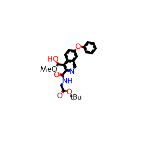 COC(O)c1c(C(=O)NCC(=O)OC(C)(C)C)ncc2cc(Oc3ccccc3)ccc12